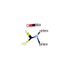 CCCCCCN(CCCCCC)C(=S)S.[O]=[Mo]